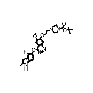 COc1cc2c(Oc3ccc4[nH]c(C)cc4c3F)ncnc2cc1OCCN1CCN(C(=O)OC(C)(C)C)CC1